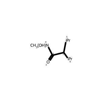 CC(C)C(C(=O)N(C)O)C(C)C